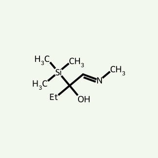 CCC(O)(C=NC)[Si](C)(C)C